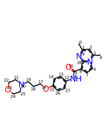 Cc1cc(C)n2ccc(C(=O)Nc3ccc(OCCCN4CCOCC4)cc3)c2n1